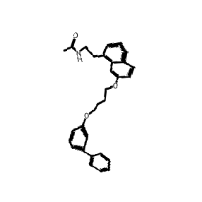 CC(=O)NCCc1cccc2ccc(OCCCCOc3cccc(-c4ccccc4)c3)cc12